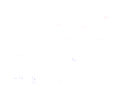 NNc1c(Cl)cc2c(=O)c(OC(=O)O)cn(C3CC3)c2c1Cl